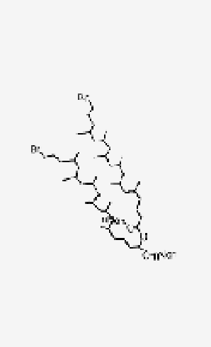 CCCCCCCCCOC(CCCC(C)CC(C)CC(C)CC(C)CC(C)CC(C)CCCBr)OC(CCCC(C)CC(C)CC(C)CC(C)CC(C)CC(C)CCCBr)OCCCCCCCCC